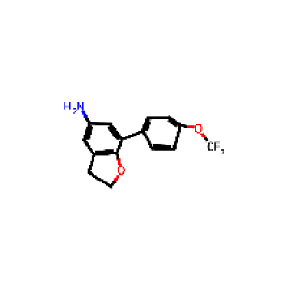 Nc1cc2c(c(-c3ccc(OC(F)(F)F)cc3)c1)OCC2